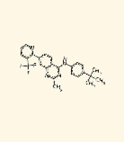 Cc1nc(Nc2ccc(C(C)(C)C)cc2)c2ccc(-c3ncccc3C(F)(F)F)cc2n1